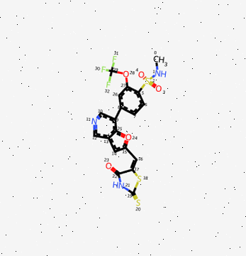 CNS(=O)(=O)c1ccc(-c2cncc3cc(/C=C4/SC(=S)NC4=O)oc23)cc1OC(F)(F)F